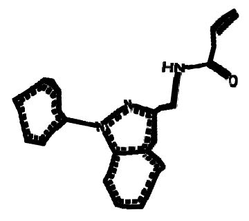 C=CC(=O)NCc1nn(-c2ccccc2)c2ccccc12